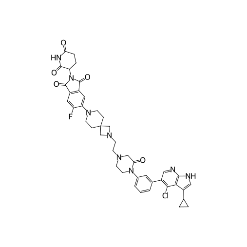 O=C1CCC(N2C(=O)c3cc(F)c(N4CCC5(CC4)CN(CCN4CCN(c6cccc(-c7cnc8[nH]cc(C9CC9)c8c7Cl)c6)C(=O)C4)C5)cc3C2=O)C(=O)N1